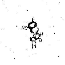 N#Cc1cc(F)ccc1Cn1c(=S)[nH]c(=O)c2[nH]ccc21